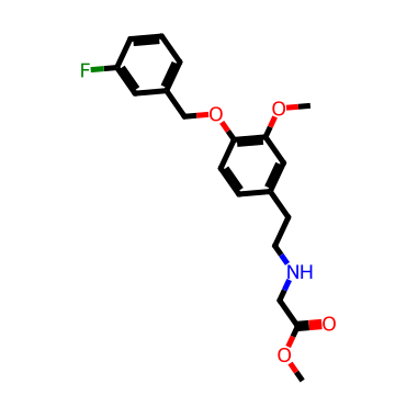 COC(=O)CNCCc1ccc(OCc2cccc(F)c2)c(OC)c1